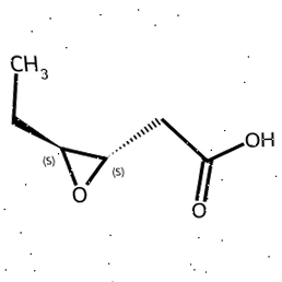 CC[C@@H]1O[C@H]1CC(=O)O